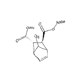 CNOC(=O)[C@H]1C2C=CC(C2O)[C@@H]1C(=O)OC